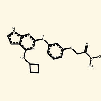 CN(C)C(=O)COc1cccc(Nc2nc(NC3CCC3)c3cc[nH]c3n2)c1